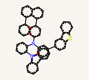 c1ccc(-c2cccc3cccc(-c4ccc(N(c5cccc(-c6ccc7sc8ccccc8c7c6)c5)c5ccccc5-n5c6ccccc6c6ccccc65)cc4)c23)cc1